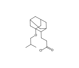 CC(C)COC12CC3CC(CC(C3)C1CCC(=O)Cl)C2